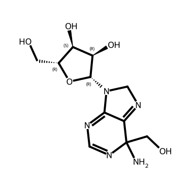 NC1(CO)N=CN=C2C1=NCN2[C@@H]1O[C@H](CO)[C@@H](O)[C@H]1O